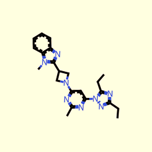 CCc1nc(CC)n(-c2cc(N3CC(c4nc5ccccc5n4C)C3)nc(C)n2)n1